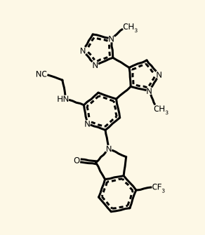 Cn1cnnc1-c1cnn(C)c1-c1cc(NCC#N)nc(N2Cc3c(cccc3C(F)(F)F)C2=O)c1